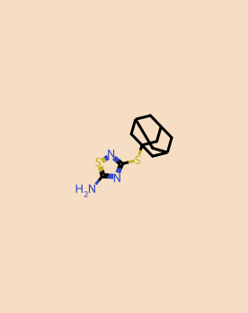 Nc1nc(SC23CC4CC(CC(C4)C2)C3)ns1